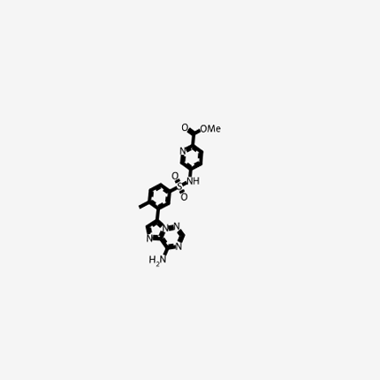 COC(=O)c1ccc(NS(=O)(=O)c2ccc(C)c(-c3cnc4c(N)ncnn34)c2)cn1